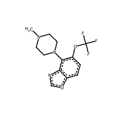 CN1CCN(c2c(OC(F)(F)F)ccc3o[c]nc23)CC1